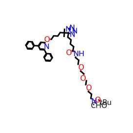 CC(C)(C)ON(C=O)CCCOCCOCCOCCCNC(=O)CCCCC1(C(C)(C)CCCCOc2cc(-c3ccccc3)cc(-c3ccccc3)n2)N=NN=N1